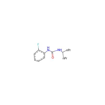 CCCC(CCC)NC(=O)Nc1ccccc1F